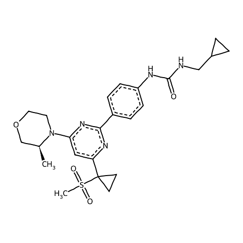 C[C@H]1COCCN1c1cc(C2(S(C)(=O)=O)CC2)nc(-c2ccc(NC(=O)NCC3CC3)cc2)n1